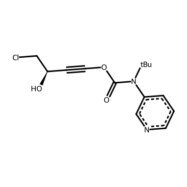 CC(C)(C)N(C(=O)OC#C[C@@H](O)CCl)c1cccnc1